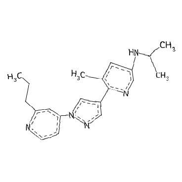 CCCc1cc(-n2cc(-c3ncc(NC(C)C)cc3C)cn2)ccn1